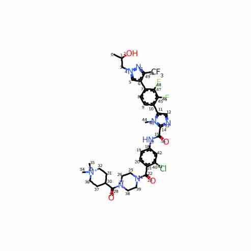 CC(O)Cn1cc(-c2ccc(-c3cnc(C(=O)Nc4ccc(C(=O)N5CCN(C(=O)C6CC[N+](C)(C)CC6)CC5)c(Cl)c4)n3C)c(F)c2F)c(C(F)(F)F)n1